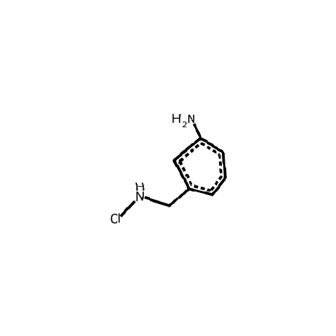 Nc1cccc(CNCl)c1